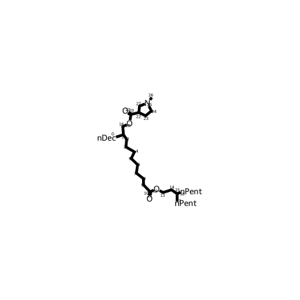 CCCCCCCCCCC(CCCCCCCCC(=O)OCCC(CCCCC)CCCCC)COC(=O)C1CCN(C)C1